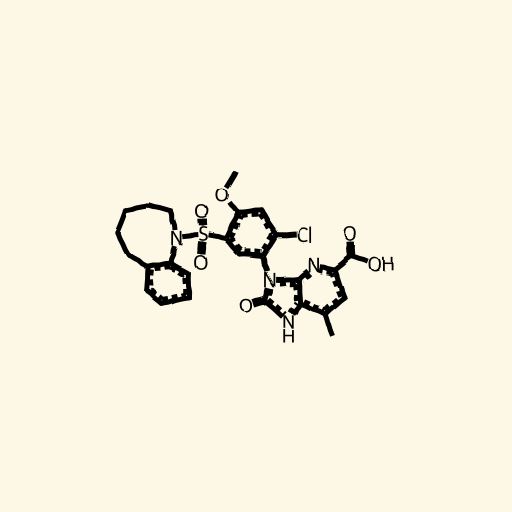 COc1cc(Cl)c(-n2c(=O)[nH]c3c(C)cc(C(=O)O)nc32)cc1S(=O)(=O)N1CCCCCc2ccccc21